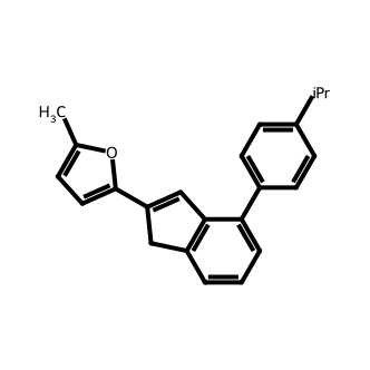 Cc1ccc(C2=Cc3c(cccc3-c3ccc(C(C)C)cc3)C2)o1